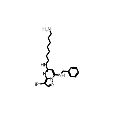 CC(C)c1cnn2c(NCc3ccccc3)cc(NCCCCCCCN)nc12